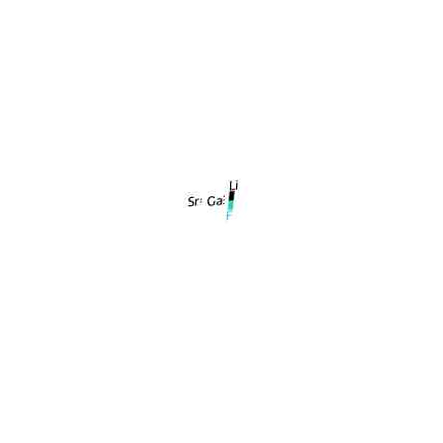 [Ga].[Li][F].[Sr]